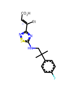 CC/C(=C\C(=O)O)c1nsc(NCC(C)(C)c2ccc(F)cc2)n1